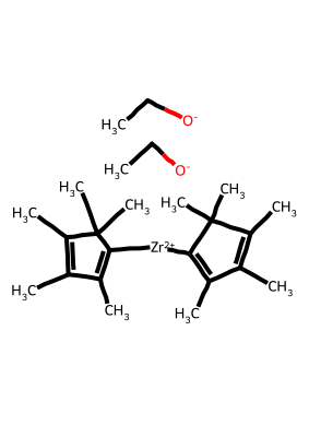 CC1=C(C)C(C)(C)[C]([Zr+2][C]2=C(C)C(C)=C(C)C2(C)C)=C1C.CC[O-].CC[O-]